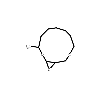 CC1CCCCCCCCC2OC2O1